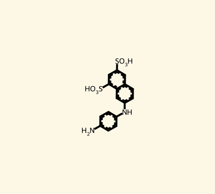 Nc1ccc(Nc2ccc3cc(S(=O)(=O)O)cc(S(=O)(=O)O)c3c2)cc1